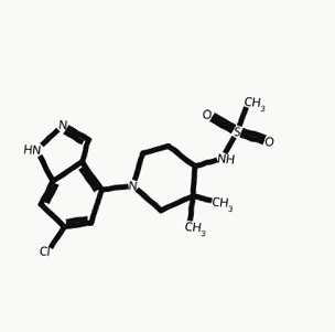 CC1(C)CN(c2cc(Cl)cc3[nH]ncc23)CCC1NS(C)(=O)=O